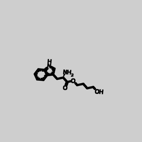 N[C@@H](Cc1c[nH]c2ccccc12)C(=O)OCCCCO